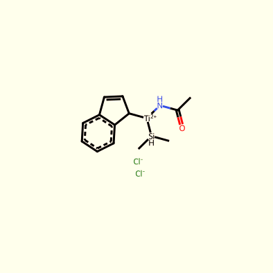 CC(=O)[NH][Ti+2]([CH]1C=Cc2ccccc21)[SiH](C)C.[Cl-].[Cl-]